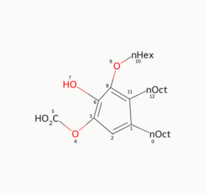 CCCCCCCCc1cc(OC(=O)O)c(O)c(OCCCCCC)c1CCCCCCCC